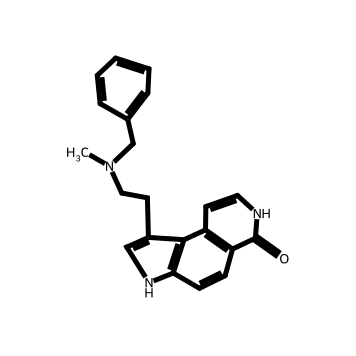 CN(CCc1c[nH]c2ccc3c(=O)[nH]ccc3c12)Cc1ccccc1